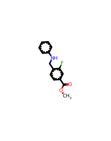 COC(=O)c1ccc(CNc2ccccc2)c(F)c1